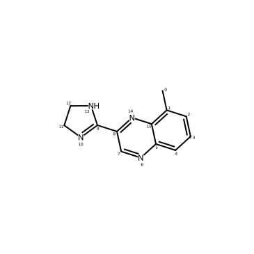 Cc1c[c]cc2ncc(C3=NCCN3)nc12